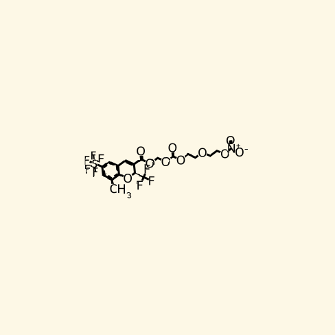 Cc1cc(S(F)(F)(F)(F)F)cc2c1O[C@H](C(F)(F)F)C(C(=O)OCOC(=O)OCCOCCO[N+](=O)[O-])=C2